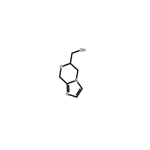 OCC1Cn2ccnc2CO1